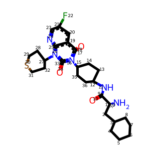 N[C@@H](CC1CCCCC1)C(=O)NC1CCC(n2c(=O)c3cc(F)cnc3n(C3CCSCC3)c2=O)CC1